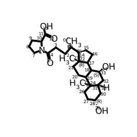 C[C@H](CCC(=O)N1CCCC1C(=O)O)[C@H]1CCC2C3C(CC[C@@]21C)[C@@]1(C)CC[C@@H](O)C[C@H]1C[C@@H]3O